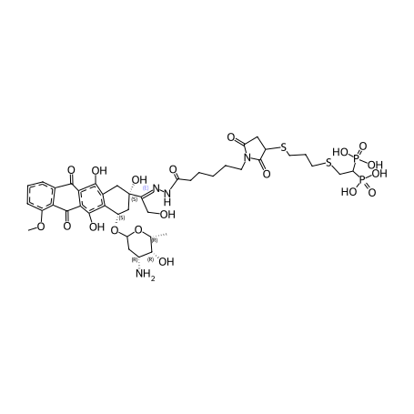 COc1cccc2c1C(=O)c1c(O)c3c(c(O)c1C2=O)C[C@@](O)(/C(CO)=N/NC(=O)CCCCCN1C(=O)CC(SCCCSCC(P(=O)(O)O)P(=O)(O)O)C1=O)C[C@@H]3OC1C[C@@H](N)[C@@H](O)[C@@H](C)O1